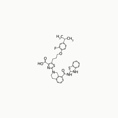 CC(C)c1ccc(OCCCc2sc(N3CCc4cccc(C(=O)NC5Nc6ccccc6S5)c4C3)nc2C(=O)O)c(F)c1